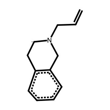 C=CCN1[CH]Cc2ccccc2C1